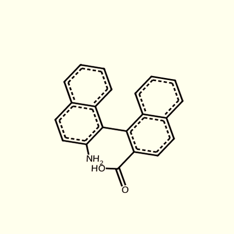 Nc1ccc2ccccc2c1-c1c(C(=O)O)ccc2ccccc12